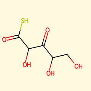 O=C(S)C(O)C(=O)C(O)CO